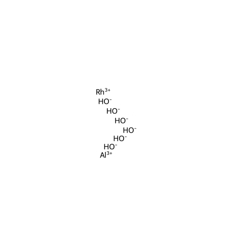 [Al+3].[OH-].[OH-].[OH-].[OH-].[OH-].[OH-].[Rh+3]